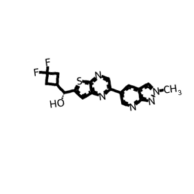 Cn1cc2cc(-c3cnc4sc([C@H](O)C5CC(F)(F)C5)cc4n3)cnc2n1